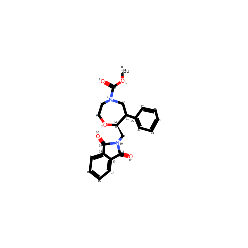 CC(C)(C)OC(=O)N1CCO[C@H](CN2C(=O)c3ccccc3C2=O)C(c2ccccc2)C1